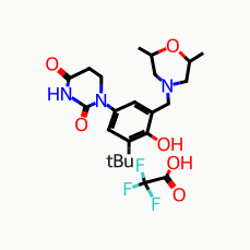 CC1CN(Cc2cc(N3CCC(=O)NC3=O)cc(C(C)(C)C)c2O)CC(C)O1.O=C(O)C(F)(F)F